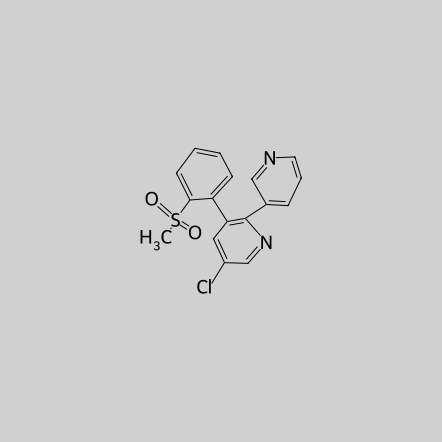 CS(=O)(=O)c1ccccc1-c1cc(Cl)cnc1-c1cccnc1